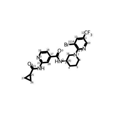 O=C(N[C@@H]1CCCN(c2ncc(C(F)(F)F)cc2Br)C1)c1ccnc(NC(=O)C2CC2)c1